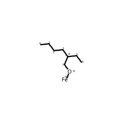 CCCCC(CC)C[O][Fe]